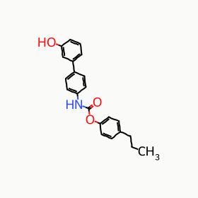 CCCc1ccc(OC(=O)Nc2ccc(-c3cccc(O)c3)cc2)cc1